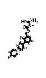 N=C(N)NC(=O)OCc1cccc(-c2cnc(N3CCC(F)CC3)nc2)c1F